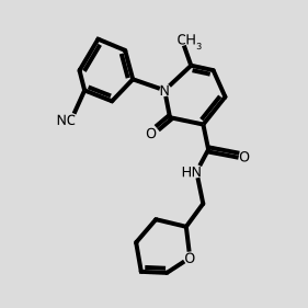 Cc1ccc(C(=O)NCC2CCC=CO2)c(=O)n1-c1cccc(C#N)c1